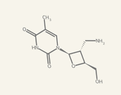 Cc1cn([C@@H]2O[C@H](CO)[C@H]2CN)c(=O)[nH]c1=O